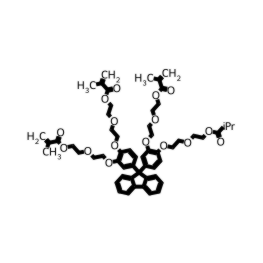 C=C(C)C(=O)OCCOCCOc1ccc(C2(c3ccc(OCCOCCOC(=O)C(C)C)c(OCCOCCOC(=O)C(=C)C)c3)c3ccccc3-c3ccccc32)cc1OCCOCCOC(=O)C(=C)C